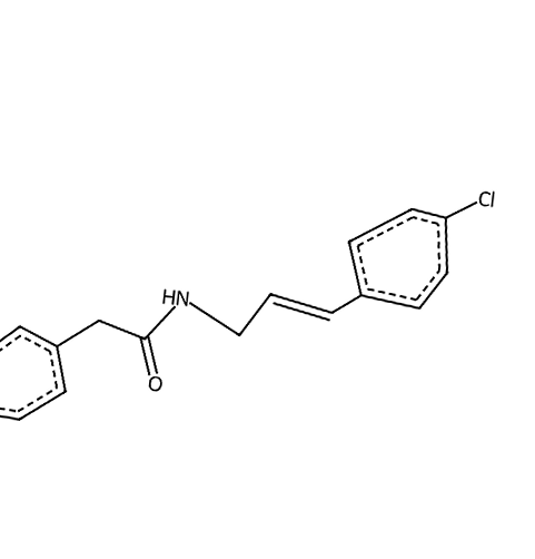 O=C(Cc1ccccc1)NCC=Cc1ccc(Cl)cc1